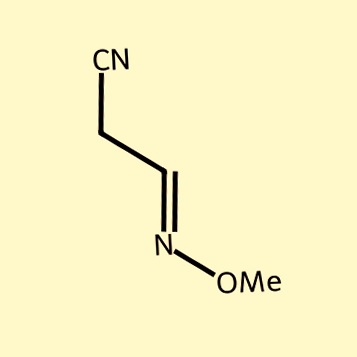 CON=CCC#N